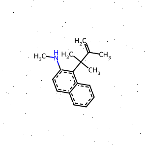 C=C(C)C(C)(C)c1c(NC)ccc2ccccc12